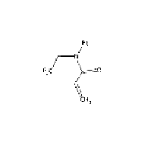 C=CC(=O)N(CC)CC(F)(F)F